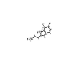 Cc1ccc2cc(CCN)[nH]c2c1C